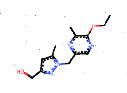 CCOc1ncc(Cn2nc(CO)cc2C)nc1C